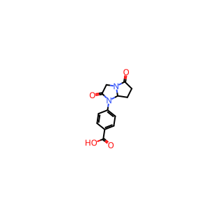 O=C(O)c1ccc(N2C(=O)CN3C(=O)CCC32)cc1